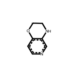 [C]1CNc2cnccc2O1